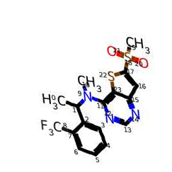 CC(c1ccccc1C(F)(F)F)N(C)c1ncnc2cc(S(C)(=O)=O)sc12